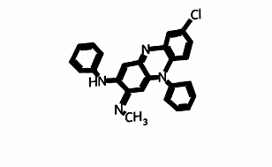 CN=c1cc2n(-c3ccccc3)c3ccc(Cl)cc3nc-2cc1Nc1ccccc1